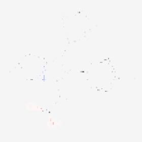 Cc1ccc(-c2c(-c3ccccc3)c3n(c2CC(=O)O)CC(C)(C)C3)cc1